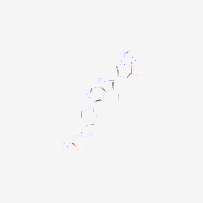 COc1cc(-c2[nH]c3cnc(N4CCC(NCC(=O)N(C)C)CC4)cc3c2C(C)C)cn2ncnc12